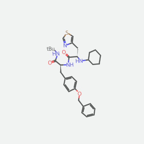 CC(C)(C)NC(=O)[C@H](Cc1ccc(OCc2ccccc2)cc1)NC(=O)[C@H](Cc1cscn1)NC1CCCCC1